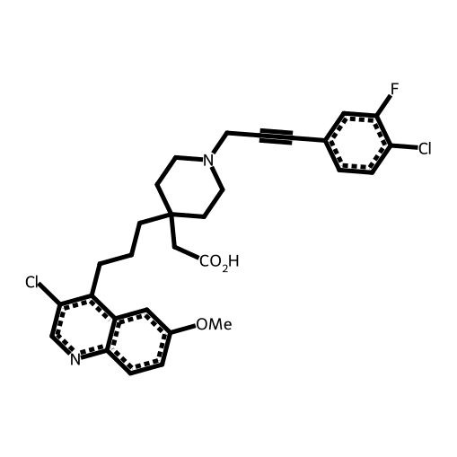 COc1ccc2ncc(Cl)c(CCCC3(CC(=O)O)CCN(CC#Cc4ccc(Cl)c(F)c4)CC3)c2c1